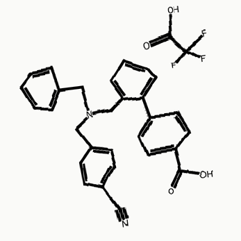 N#Cc1ccc(CN(Cc2ccccc2)Cc2ccccc2-c2ccc(C(=O)O)cc2)cc1.O=C(O)C(F)(F)F